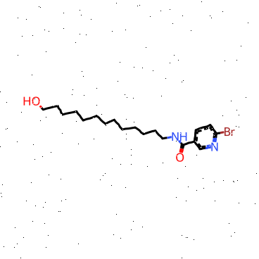 O=C(NCCCCCCCCCCCCCO)c1ccc(Br)nc1